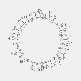 CC[C@@H]1NC(=O)[C@H]([C@H](O)C(C)C)N(C)C(=O)C(C(C)C)N(C)C(=O)[C@H](CC(C)C)N(C)C(=O)[C@H](CC(C)C)N(C)C(=O)[C@@H](C)NC(=O)[C@H](C)NC(=O)[C@H](CC(C)C)N(C)C(=O)[C@H](C(C)C)NC(=O)[C@H](CC(C)C)N(C)C(=O)CN(C)C1=O